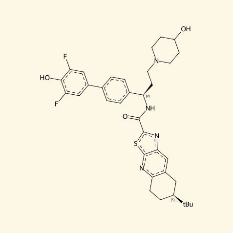 CC(C)(C)[C@H]1CCc2nc3sc(C(=O)N[C@H](CCN4CCC(O)CC4)c4ccc(-c5cc(F)c(O)c(F)c5)cc4)nc3cc2C1